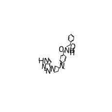 CN(c1ccc(C(=O)NC[C@H](O)c2ccccc2)cc1)[C@@H]1CCN(c2ncnc3[nH]ccc23)C1